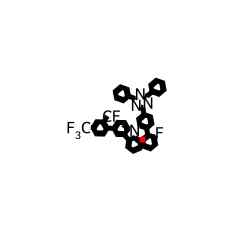 Fc1ccccc1-c1ccc(-c2nc(-c3ccccc3)nc(-c3ccccc3)n2)cc1-n1c2ccccc2c2cc(-c3ccc(C(F)(F)F)cc3C(F)(F)F)ccc21